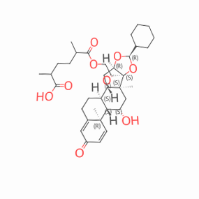 CC(CCC(C)C(=O)OCC(=O)[C@@]12O[C@H](C3CCCCC3)O[C@@H]1C[C@H]1[C@@H]3CCC4=CC(=O)C=C[C@]4(C)[C@H]3[C@@H](O)C[C@@]12C)C(=O)O